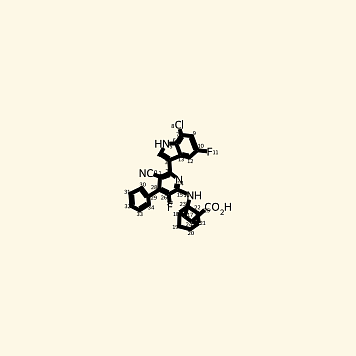 N#Cc1c(-c2c[nH]c3c(Cl)cc(F)cc23)nc(NC2C3CCC(CC3)C2C(=O)O)c(F)c1-c1ccccc1